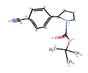 CC(C)(C)OC(=O)N1CCCC1c1ccc(C#N)cc1